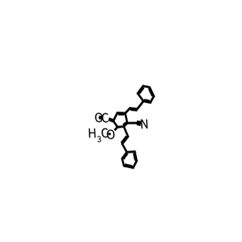 COC1C(=C=O)C=C(C=Cc2ccccc2)C(C#N)=C1C=Cc1ccccc1